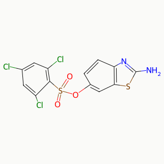 Nc1nc2ccc(OS(=O)(=O)c3c(Cl)cc(Cl)cc3Cl)cc2s1